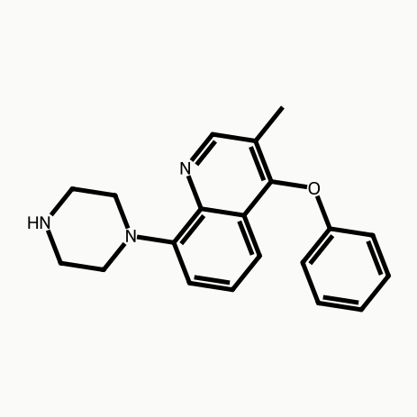 Cc1cnc2c(N3CCNCC3)cccc2c1Oc1ccccc1